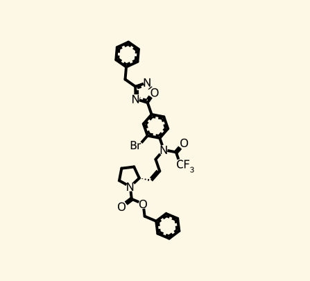 O=C(OCc1ccccc1)N1CCC[C@@H]1/C=C\CN(C(=O)C(F)(F)F)c1ccc(-c2nc(Cc3ccccc3)no2)cc1Br